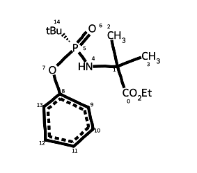 CCOC(=O)C(C)(C)N[P@](=O)(Oc1ccccc1)C(C)(C)C